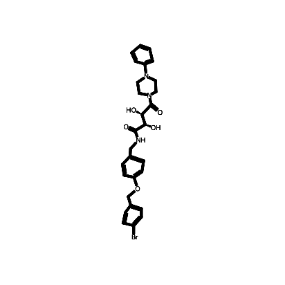 O=C(NCc1ccc(OCc2ccc(Br)cc2)cc1)[C@H](O)[C@@H](O)C(=O)N1CCN(c2ccccc2)CC1